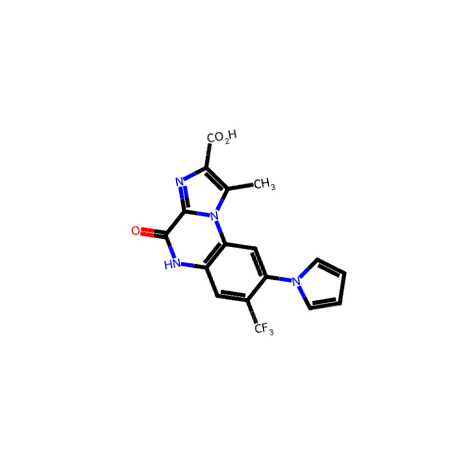 Cc1c(C(=O)O)nc2c(=O)[nH]c3cc(C(F)(F)F)c(-n4cccc4)cc3n12